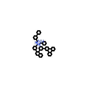 c1ccc(-c2cccc(C3=NC(c4cccc(-c5ccc6ccccc6c5-c5cccc(-c6ccc7c8ccccc8c8ccccc8c7c6)c5)c4)=NC(c4ccccc4)N3)c2)cc1